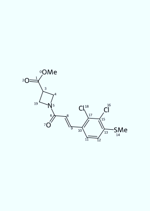 COC(=O)C1CN(C(=O)/C=C/c2ccc(SC)c(Cl)c2Cl)C1